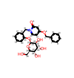 O=c1cc(OCc2ccccc2)ccn1Cc1ccccc1O[C@@H]1O[C@H](CO)[C@@H](O)[C@@H](O)[C@@H]1O